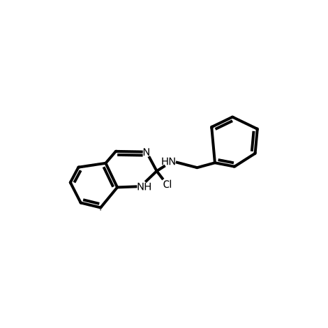 ClC1(NCc2ccccc2)N=Cc2ccc[c]c2N1